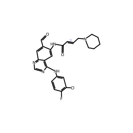 O=Cc1cc2ncnc(Nc3ccc(F)c(Cl)c3)c2cc1NC(=O)/C=C/CN1CCCCC1